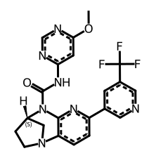 COc1cc(NC(=O)N2c3nc(-c4cncc(C(F)(F)F)c4)ccc3N3CC[C@H]2C3)ncn1